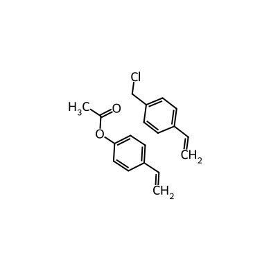 C=Cc1ccc(CCl)cc1.C=Cc1ccc(OC(C)=O)cc1